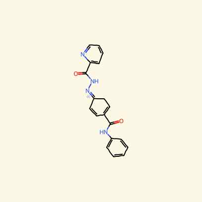 O=C(Nc1ccccc1)C1=CC/C(=N\NC(=O)c2ccccn2)C=C1